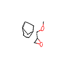 C1=C2CCC(C1)C2.COCC1CO1